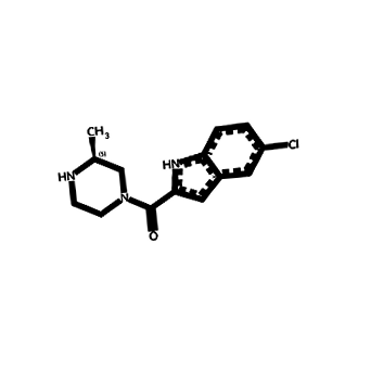 C[C@H]1CN(C(=O)c2cc3cc(Cl)ccc3[nH]2)CCN1